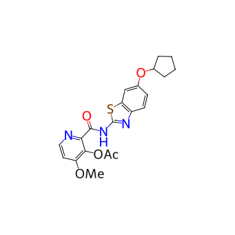 COc1ccnc(C(=O)Nc2nc3ccc(OC4CCCC4)cc3s2)c1OC(C)=O